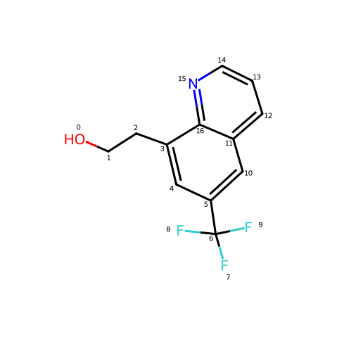 OCCc1cc(C(F)(F)F)cc2cccnc12